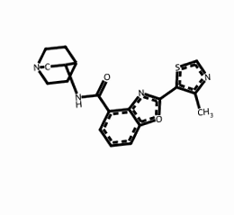 Cc1ncsc1-c1nc2c(C(=O)NC3CN4CCC3CC4)cccc2o1